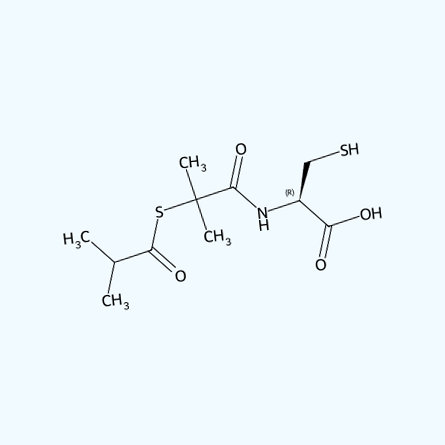 CC(C)C(=O)SC(C)(C)C(=O)N[C@@H](CS)C(=O)O